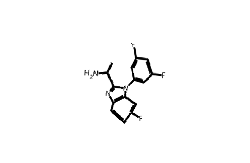 CC(N)c1nc2ccc(F)cc2n1-c1cc(F)cc(F)c1